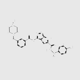 CN1CCN(Cc2cccc(C(=O)Nc3n[nH]c4sc(C(=O)NN(C)c5ccc(Cl)cc5)cc34)c2)CC1